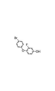 Oc1ccc(Oc2ccc(Br)cc2)c(F)c1